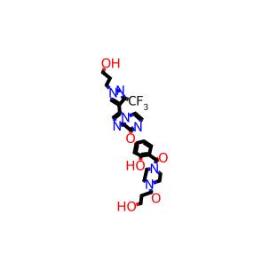 O=C(CCO)N1CCN(C(=O)c2ccc(Oc3nccn4c(-c5cn(CCCO)nc5C(F)(F)F)cnc34)cc2O)CC1